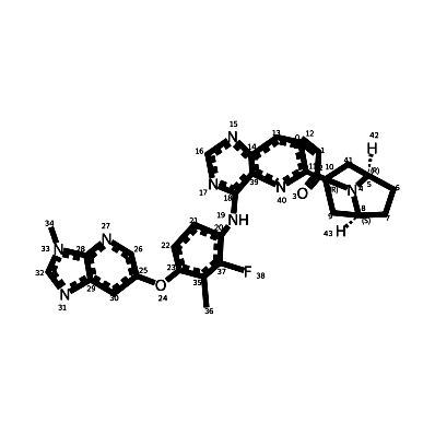 C=CC(=O)N1[C@@H]2CC[C@H]1C[C@@H](c1ccc3ncnc(Nc4ccc(Oc5cnc6c(c5)ncn6C)c(C)c4F)c3n1)C2